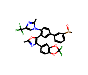 Cc1nc(-c2ccc3c(c2)OC(F)(F)O3)c(-c2cc(-c3cccc([S+](C)[O-])c3)ccc2-n2cc(C(F)(F)F)nc2C)o1